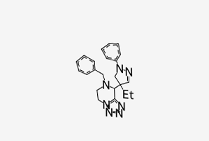 CCC1(C2c3nnnn3CCN2Cc2ccccc2)C=NN(c2ccccc2)C1